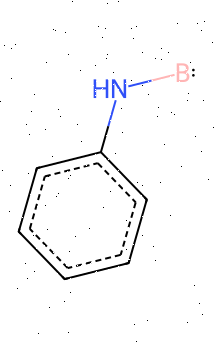 [B]Nc1ccccc1